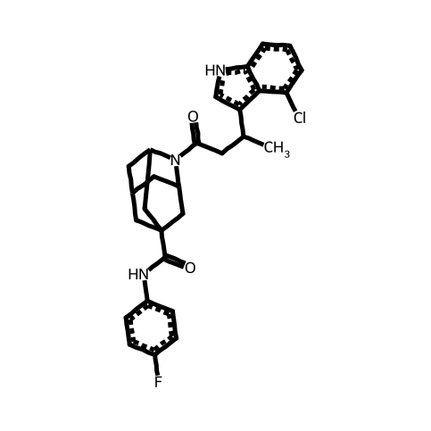 CC(CC(=O)N1C2CC3CC1CC(C(=O)Nc1ccc(F)cc1)(C3)C2)c1c[nH]c2cccc(Cl)c12